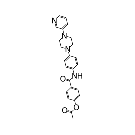 CC(=O)Oc1ccc(C(=O)Nc2ccc(N3CCN(c4cccnc4)CC3)cc2)cc1